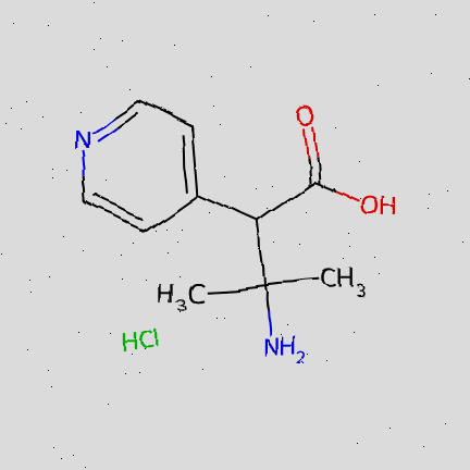 CC(C)(N)C(C(=O)O)c1ccncc1.Cl